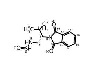 CC(C)[C@@H](CN[SH]=O)N1C(=O)c2ccccc2C1=O